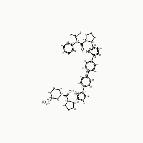 CN(C)[C@@H](C(=O)N1CCC[C@H]1c1ncc(-c2ccc(-c3ccc(-c4cnc([C@@H]5CCCN5C(=O)[C@@H]5CCCN(C(=O)O)C5)[nH]4)cc3)cc2)[nH]1)c1ccccc1